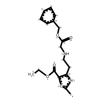 CCOC(=O)c1oc(I)nc1CCNCC(=O)OCc1ccccc1